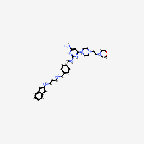 Nc1cc(N2CCN(CCN3CCOCC3)CC2)nc(NC[C@H]2CC[C@H](CNCCCNC3Cc4ccccc4C3)CC2)n1